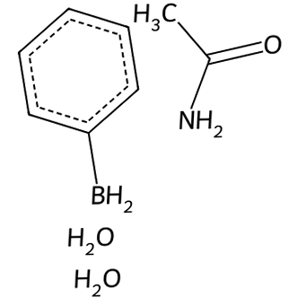 Bc1ccccc1.CC(N)=O.O.O